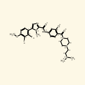 COc1ccc(-c2cnc(C(=O)Nc3ccc(C(=O)N4CCN(CCN(C)C)CC4)c(Cl)c3)n2C)c(F)c1F